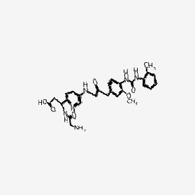 COc1cc(CC(=O)CNc2ccc(C(CC(=O)O)NC(=O)CN)nc2)ccc1NC(=O)Nc1ccccc1C